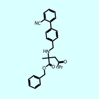 CCCC(=O)CC(C)(NCc1ccc(-c2ccccc2C#N)cc1)C(=O)OCc1ccccc1